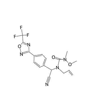 C=CCN(C(=O)N(C)OC)C(C#N)c1ccc(-c2noc(C(F)(F)F)n2)cc1